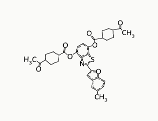 CC(=O)C1CCC(C(=O)Oc2ccc(OC(=O)C3CCC(C(C)=O)CC3)c3sc(-c4cc5cc(C)ccc5o4)nc23)CC1